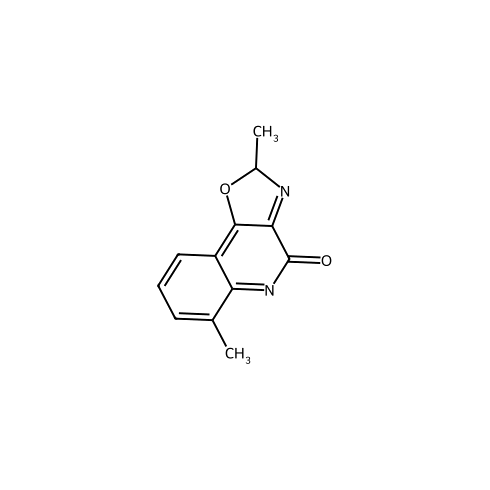 Cc1cccc2c1=NC(=O)C1=NC(C)OC=21